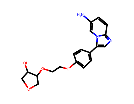 Nc1ccc2ncc(-c3ccc(OCCOC4COCC4O)cc3)n2c1